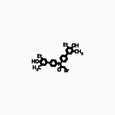 CCc1cc(-c2ccc(N(C(=O)CBr)c3ccc(-c4cc(C)c(O)c(CC)c4)cc3)cc2)cc(C)c1O